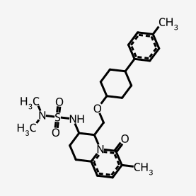 Cc1ccc(C2CCC(OCC3C(NS(=O)(=O)N(C)C)CCc4ccc(C)c(=O)n43)CC2)cc1